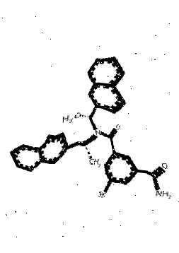 C[C@H](c1ccc2ccccc2c1)N(C(=O)c1cc(Br)cc(C(N)=O)c1)[C@H](C)c1ccc2ccccc2c1